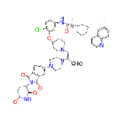 C[C@@H](C(=O)Nc1ccc(Cl)c(OC2CCN(CC(C=O)N3CCN(c4ccc5c(c4)C(=O)N(C4CCC(=O)NC4=O)C5=O)CC3)CC2)c1)[C@H]1CC[C@@H](c2ccnc3ccc(F)cc32)CC1